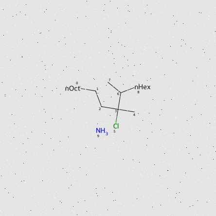 CCCCCCCCCCC(C)(Cl)C(C)CCCCCC.N